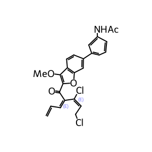 C=C/C=C(C(=O)c1oc2cc(-c3cccc(NC(C)=O)c3)ccc2c1OC)/C(Cl)=C\CCl